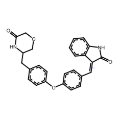 O=C1COCC(Cc2ccc(Oc3ccc(/C=C4/C(=O)Nc5ccccc54)cc3)cc2)N1